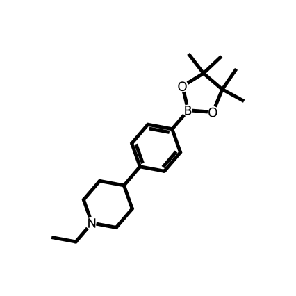 CCN1CCC(c2ccc(B3OC(C)(C)C(C)(C)O3)cc2)CC1